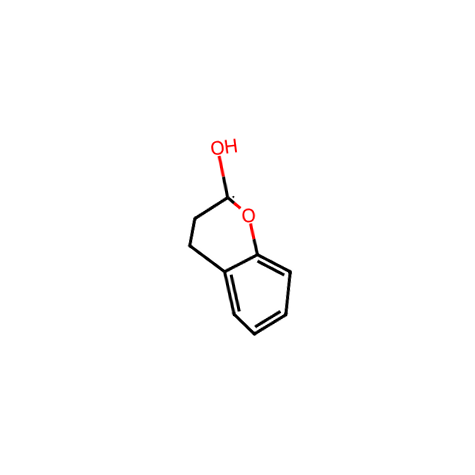 O[C]1CCc2ccccc2O1